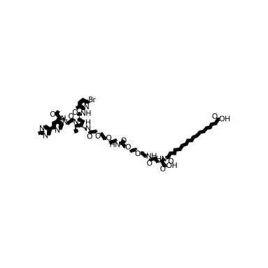 C=C[C@@H]1[C@@H](CNC(=O)COCCOCCNC(=O)COCCOCCNC(=O)CC[C@H](NC(=O)CCCCCCCCCCCCCCCCC(=O)O)C(=O)O)C[C@@H](C(=O)Nc2nc(Br)ccc2C)N1C(=O)Cn1nc(C(C)=O)c2cc(-c3cnc(C)nc3)ncc21